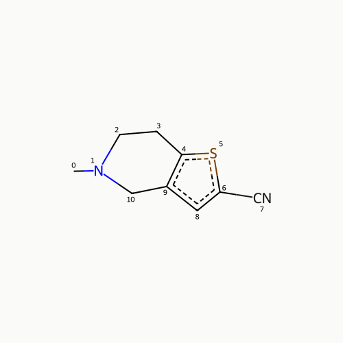 CN1CCc2sc(C#N)cc2C1